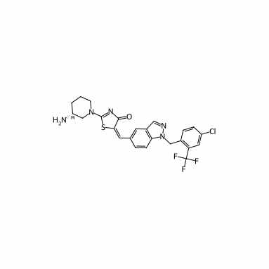 N[C@@H]1CCCN(C2=NC(=O)C(=Cc3ccc4c(cnn4Cc4ccc(Cl)cc4C(F)(F)F)c3)S2)C1